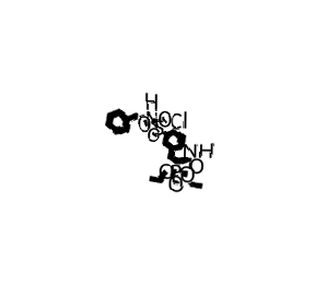 CCOP(=O)(OCC)c1cc2cc(S(=O)(=O)NOCc3ccccc3)c(Cl)cc2[nH]c1=O